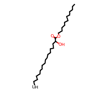 CCCCCCCCCCCCCCCCC(O)C(=O)OCCCCCCCCCCCC.[LiH]